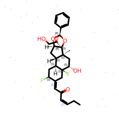 CC/C=C\C(=O)/C=C1\C[C@@]2(F)[C@@H](O)C[C@@]3(C)[C@@H](C[C@H]4O[C@@H](c5ccccc5)O[C@]43C(=O)CO)[C@@H]2C[C@@H]1F